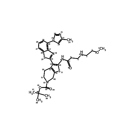 COCCNCCC(=O)Nc1sc2c(c1-c1nc3c(-n4cnc(C)c4)cccc3s1)CCN(C(=O)OC(C)(C)C)C2